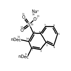 CCCCCCCCCCc1cc2ccccc2c(S(=O)(=O)[O-])c1CCCCCCCCCC.[Na+]